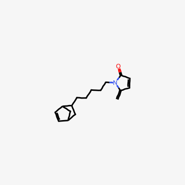 C=C1C=CC(=O)N1CCCCCC1CC2C=CC1C2